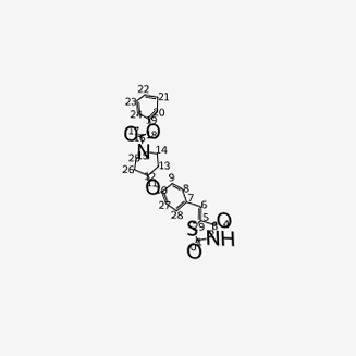 O=C1NC(=O)C(=Cc2ccc(OC3CCN(C(=O)Oc4ccccc4)CC3)cc2)S1